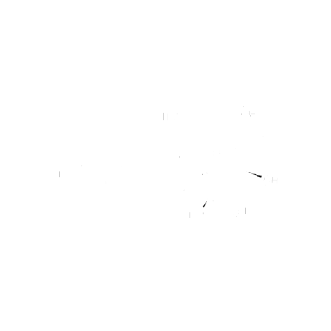 CCOC1(CCCCCCF)O[C@H](CO)[C@@H](O)[C@H](O)[C@H]1O